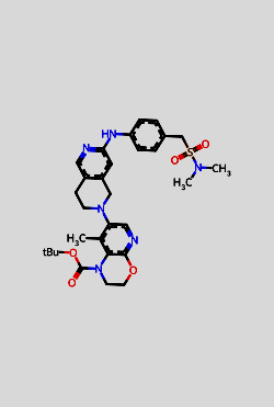 Cc1c(N2CCc3cnc(Nc4ccc(CS(=O)(=O)N(C)C)cc4)cc3C2)cnc2c1N(C(=O)OC(C)(C)C)CCO2